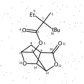 CCC(C)(C(=O)OC1C2CC3C(=O)OC1C3O2)C(C)(C)C